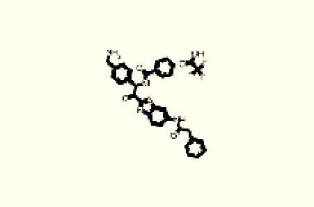 NCc1ccc(C(NC(=O)c2ccccc2)C(=O)c2nc3ccc(NC(=O)Cc4ccccc4)cc3s2)cc1.O=C(O)C(F)(F)F